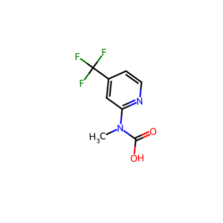 CN(C(=O)O)c1cc(C(F)(F)F)ccn1